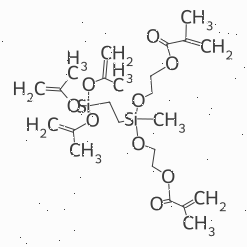 C=C(C)O[Si](CC[Si](C)(OCCOC(=O)C(=C)C)OCCOC(=O)C(=C)C)(OC(=C)C)OC(=C)C